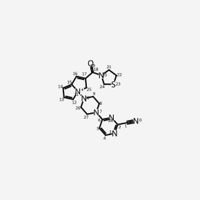 N#Cc1nccc(N2CCN([N@@+]34C=CC=C3C=C(C(=O)N3CCSC3)C4)CC2)n1